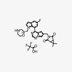 CC1(C)C2C(=O)N(Cc3cc4c(-c5cc(F)cc6ccn(C[C@@H]7CNCCO7)c56)ncnn4c3)C(=O)C21.O=C(O)C(F)(F)F